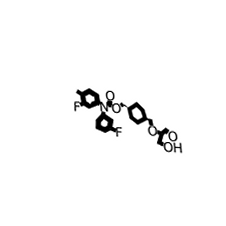 Cc1ccc(N(C(=O)OC[C@H]2CC[C@H](COC(C=O)CO)CC2)c2cccc(F)c2)cc1F